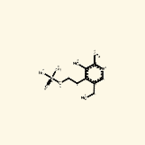 Cc1ncc(CO)c(CCOP(=O)(O)O)c1O